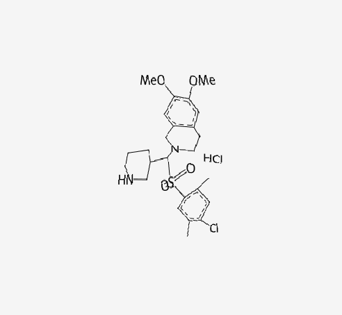 COc1cc2c(cc1OC)CN(C(C1CCCNC1)S(=O)(=O)c1cc(C)c(Cl)cc1C)CC2.Cl